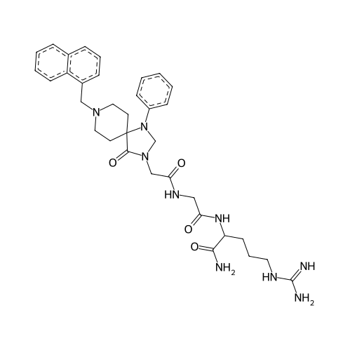 N=C(N)NCCCC(NC(=O)CNC(=O)CN1CN(c2ccccc2)C2(CCN(Cc3cccc4ccccc34)CC2)C1=O)C(N)=O